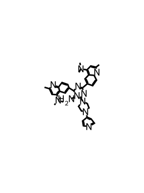 Cc1cc(N(C)C)c2cc(C3=NC(c4ccc5nc(C)cc(N(C)C)c5c4)N(N)C(N4CCN(c5ccncc5)CC4)=N3)ccc2n1